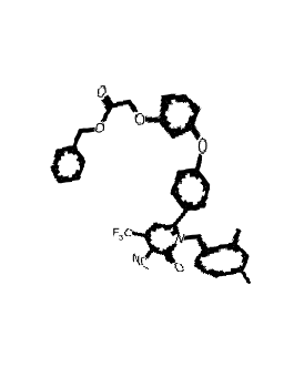 Cc1ccc(Cn2c(-c3ccc(Oc4cccc(OCC(=O)OCc5ccccc5)c4)cc3)cc(C(F)(F)F)c(C#N)c2=O)c(C)c1